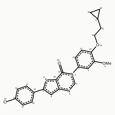 COc1cc(-n2cnc3cc(-c4ccc(Cl)cc4)sc3c2=O)ccc1OCCC1CC1